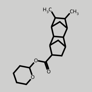 CC1C(C)C2CC1C1C3CC(C(=O)OC4CCCCO4)C(C3)C21